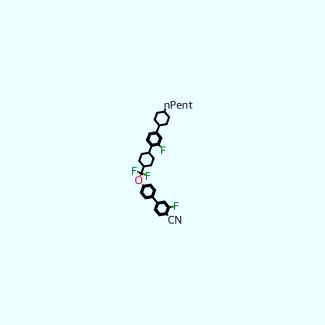 CCCCCC1CCC(c2ccc(C3CCC(C(F)(F)Oc4ccc(-c5ccc(C#N)c(F)c5)cc4)CC3)c(F)c2)CC1